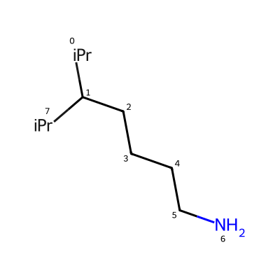 CC(C)C(CCCCN)C(C)C